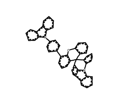 c1ccc2c(c1)Oc1c(-c3ccc(-n4c5ccccc5c5ccccc54)cc3)cccc1C21c2ccccc2-n2c3ccccc3c3cccc1c32